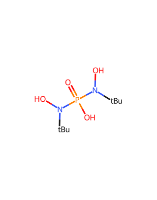 CC(C)(C)N(O)P(=O)(O)N(O)C(C)(C)C